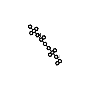 c1ccc(-c2c3ccccc3c(-c3ccc(-c4ccc(-c5ccc(-c6ccc(-c7c8ccccc8c(-c8ccc(-c9cccc%10ccccc9%10)nc8)c8ccccc78)cc6)cc5)c5ccccc45)nc3)c3ccccc23)cc1